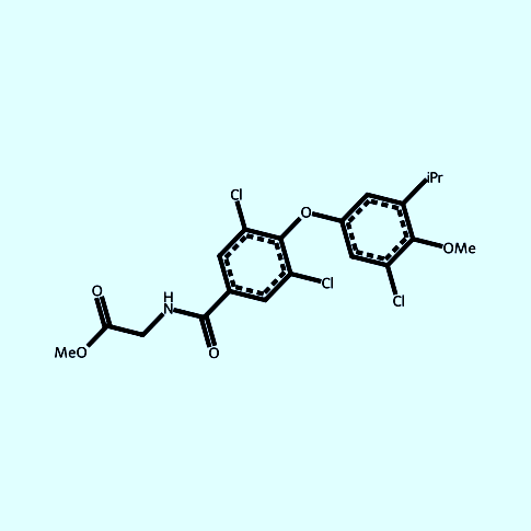 COC(=O)CNC(=O)c1cc(Cl)c(Oc2cc(Cl)c(OC)c(C(C)C)c2)c(Cl)c1